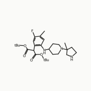 Cc1cc(NC2CCN(C3(C)CCNC3)CC2)c(C(C(=O)OC(C)(C)C)C(=O)OC(C)(C)C)cc1F